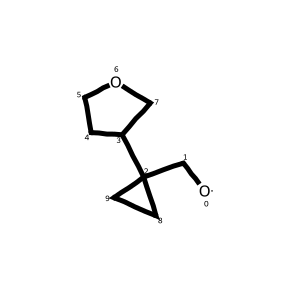 [O]CC1(C2CCOC2)CC1